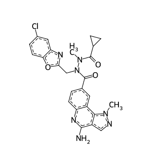 CN(C(=O)C1CC1)N(Cc1nc2cc(Cl)ccc2o1)C(=O)c1ccc2nc(N)c3cnn(C)c3c2c1